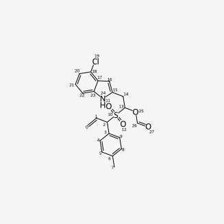 C=CC(c1ccc(C)cc1)S(=O)(=O)C(Cc1cc2c(Cl)cccc2[nH]1)OC=O